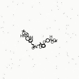 Cc1c(CN(C)C(=O)/C=C/c2cnc3c(c2)CC[C@H](NC(=O)OC(C)(C)C)C(=O)N3)oc2cccc(O[C@H]3CC[C@H](NC(=O)OC(C)(C)C)CC3)c12